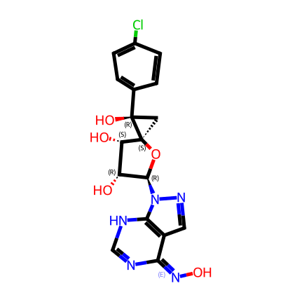 O/N=c1/nc[nH]c2c1cnn2[C@@H]1O[C@@]2(C[C@@]2(O)c2ccc(Cl)cc2)[C@@H](O)[C@H]1O